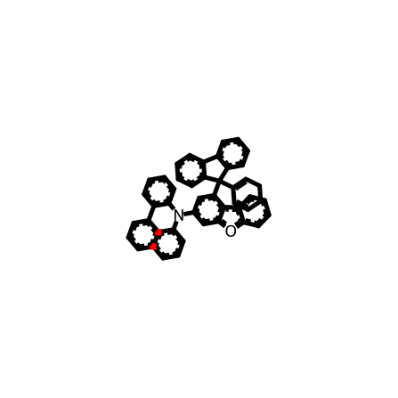 C1=CC(C2(c3cc(N(c4ccccc4)c4ccccc4-c4ccccc4)cc4oc5ccccc5c34)c3ccccc3-c3ccccc32)=CCC1